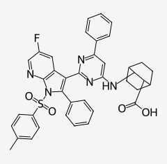 Cc1ccc(S(=O)(=O)n2c(-c3ccccc3)c(-c3nc(NC4C5CCC(CC5)C4C(=O)O)cc(-c4ccccc4)n3)c3cc(F)cnc32)cc1